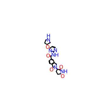 O=C1CCC(N2Cc3cc(C(=O)Nc4nccc(OC5CCNC5)n4)ccc3C2=O)C(=O)N1